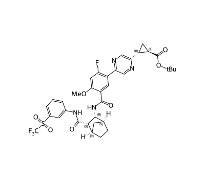 COc1cc(F)c(-c2cnc([C@@H]3C[C@H]3C(=O)OC(C)(C)C)cn2)cc1C(=O)N[C@@H]1[C@H]2CC[C@H](C2)[C@@H]1C(=O)Nc1cccc(S(=O)(=O)C(F)(F)F)c1